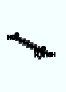 NC(CCS)C(=O)NCCCCCCCCCCCCC(=O)O